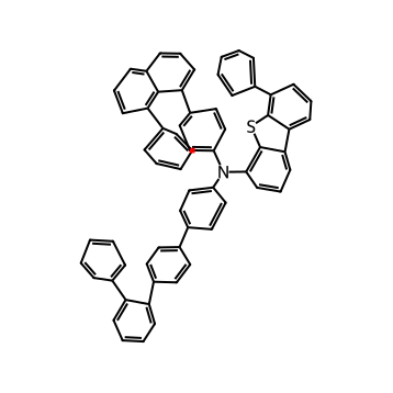 c1ccc(-c2ccccc2-c2ccc(-c3ccc(N(c4ccc(-c5cccc6cccc(-c7ccccc7)c56)cc4)c4cccc5c4sc4c(-c6ccccc6)cccc45)cc3)cc2)cc1